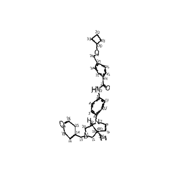 O=C(Nc1ccc(N2CC[C@@H]3CN(CC4CCOCC4)C[C@@H]32)cc1)c1ccc(COC2CCC2)cc1